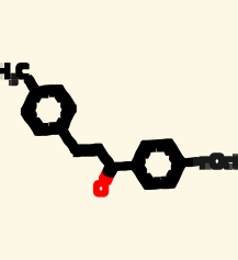 CCCCCCCCc1ccc(C(=O)C=Cc2ccc(C)cc2)cc1